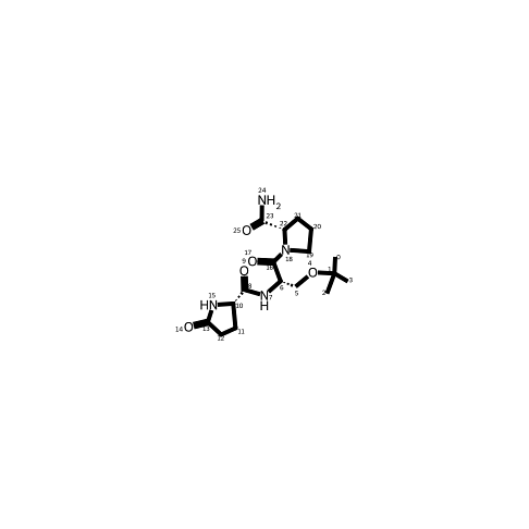 CC(C)(C)OC[C@H](NC(=O)[C@@H]1CCC(=O)N1)C(=O)N1CCC[C@H]1C(N)=O